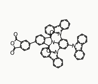 O=C1OC(=O)c2cc(-c3ccc4c(c3)C(=O)N(c3c(-n5c6ccccc6c6ccccc65)cc(-n5c6ccccc6c6ccccc65)cc3-n3c5ccccc5c5ccccc53)C4=O)ccc21